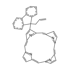 C=CCC1(C2=CC3=CC4=NC(=CC5=NC(=CC6=NC(=CC2=N3)C=C6)C=C5)C=C4)c2ccccc2-c2ccccc21